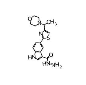 CC(c1csc(-c2ccc3[nH]cc(C(=O)NN)c3c2)n1)N1CCOCC1